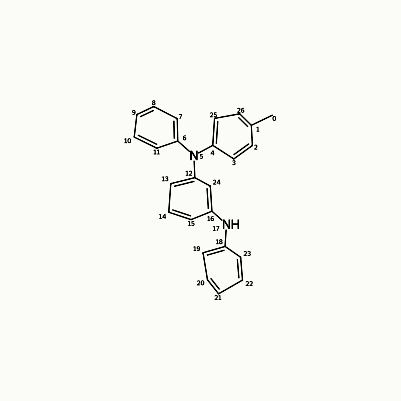 Cc1ccc(N(c2ccccc2)c2cccc(Nc3ccccc3)c2)cc1